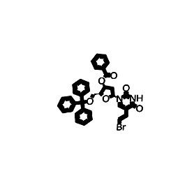 O=C(O[C@H]1C[C@H](n2cc(C=CBr)c(=O)[nH]c2=O)O[C@@H]1COC(c1ccccc1)(c1ccccc1)c1ccccc1)c1ccccc1